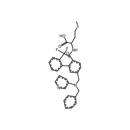 CSCCC(NC(=O)c1ccc(CN(Cc2ccccc2)c2cccnc2)cc1-c1ccccc1C(F)(F)F)C(=O)O